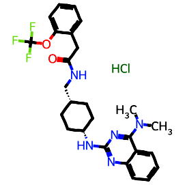 CN(C)c1nc(N[C@H]2CC[C@@H](CNC(=O)Cc3ccccc3OC(F)(F)F)CC2)nc2ccccc12.Cl